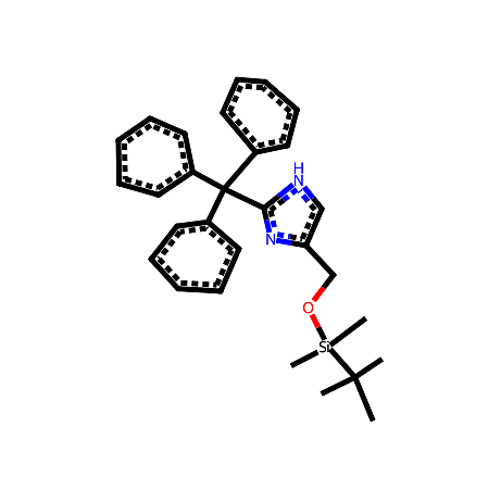 CC(C)(C)[Si](C)(C)OCc1c[nH]c(C(c2ccccc2)(c2ccccc2)c2ccccc2)n1